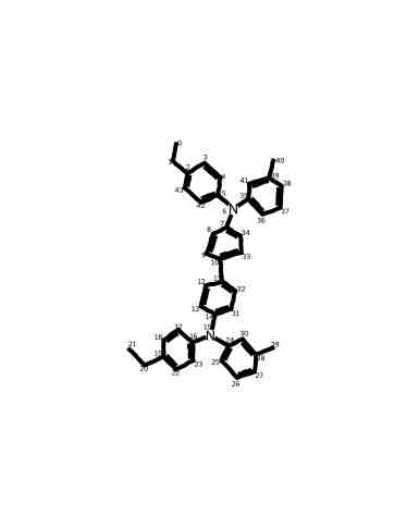 CCc1ccc(N(c2ccc(-c3ccc(N(c4ccc(CC)cc4)c4cccc(C)c4)cc3)cc2)c2cccc(C)c2)cc1